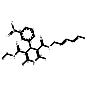 CC=CC=CCOC(=O)C1=C(C)NC(C)=C(C(=O)OCC)C1c1cccc([N+](=O)[O-])c1